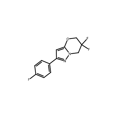 Fc1ccc(-c2cc3n(n2)CC(F)(F)CO3)cc1